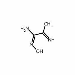 CC(=N)/C(N)=N\O